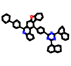 c1ccc(-c2ccc(-c3nc4ccccc4c4c(-c5ccc(-c6nc(-c7cccc8ccccc78)nc(-c7cccc8ccccc78)n6)cc5)c5c(cc34)oc3ccccc35)cc2)cc1